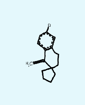 C=C1c2ccc(Cl)cc2CCC12CCCC2